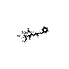 CC(C)CC(NC(=O)C(CCC(=O)OCc1ccccc1)NC(=O)OC(C)(C)C)C(=O)O